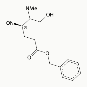 CNC(CO)[C@@H](CCC(=O)OCc1ccccc1)N=O